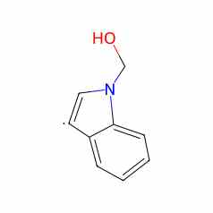 OCn1c[c]c2ccccc21